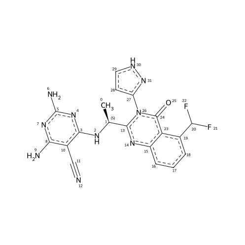 C[C@H](Nc1nc(N)nc(N)c1C#N)c1nc2cccc(C(F)F)c2c(=O)n1-c1cc[nH]n1